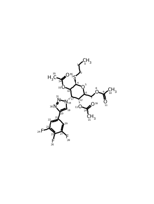 CCCS[C@H]1OC(COC(C)=O)[C@H](OC(C)=O)[C@H](n2cc(-c3cc(F)c(F)c(F)c3)nn2)C1OC(C)=O